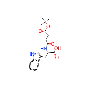 CC(C)(C)OC(=O)CCC(=O)NC(Cc1c[nH]c2ccccc12)C(=O)O